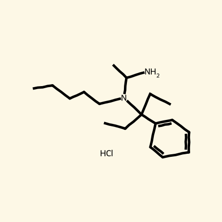 CCCCCN(C(C)N)C(CC)(CC)c1ccccc1.Cl